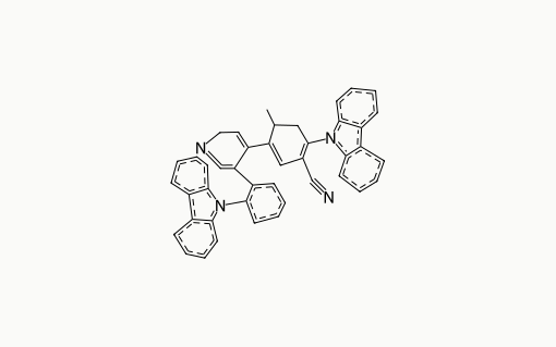 CC1CC(n2c3ccccc3c3ccccc32)=C(C#N)C=C1C1=CCN=C=C1c1ccccc1-n1c2ccccc2c2ccccc21